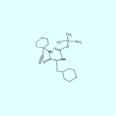 CC(C)(C)OC(=O)NC(CC1CCCCC1)C(=O)NC1(C#N)CCOCC1